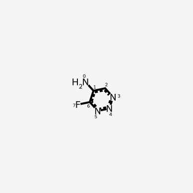 Nc1cnnnc1F